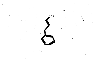 SC=CCc1ccccc1